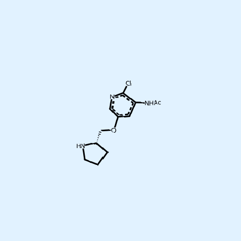 CC(=O)Nc1cc(OC[C@@H]2CCCN2)cnc1Cl